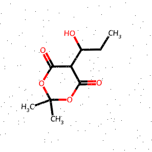 CCC(O)C1C(=O)OC(C)(C)OC1=O